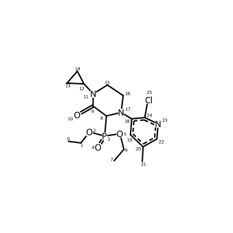 CCOP(=O)(OCC)C1C(=O)N(C2CC2)CCN1c1cc(C)cnc1Cl